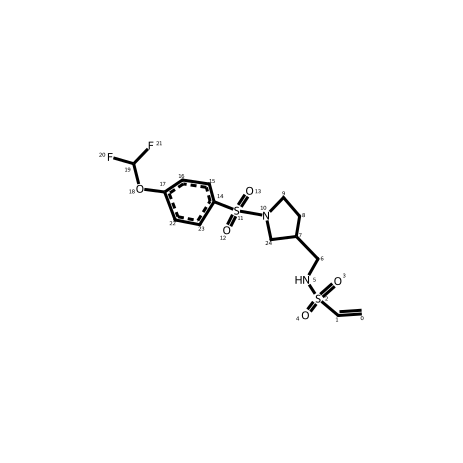 C=CS(=O)(=O)NCC1CCN(S(=O)(=O)c2ccc(OC(F)F)cc2)C1